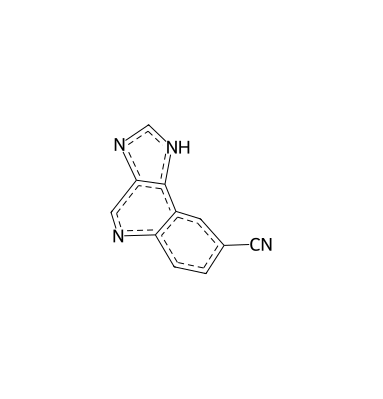 N#Cc1ccc2ncc3nc[nH]c3c2c1